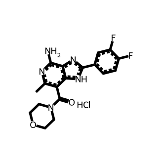 Cc1nc(N)c2nc(-c3ccc(F)c(F)c3)[nH]c2c1C(=O)N1CCOCC1.Cl